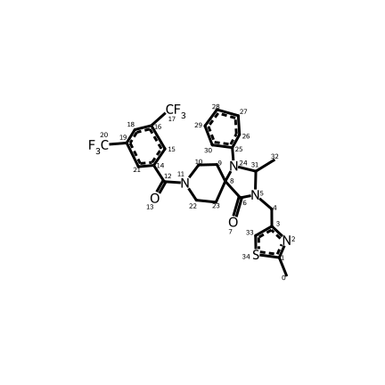 Cc1nc(CN2C(=O)C3(CCN(C(=O)c4cc(C(F)(F)F)cc(C(F)(F)F)c4)CC3)N(c3ccccc3)C2C)cs1